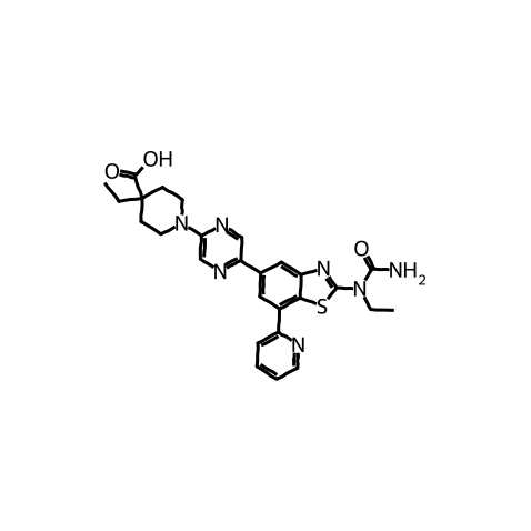 CCN(C(N)=O)c1nc2cc(-c3cnc(N4CCC(CC)(C(=O)O)CC4)cn3)cc(-c3ccccn3)c2s1